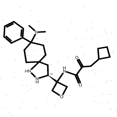 CN(C)C1(c2ccccc2)CCC2(CC1)C[C@@H](C1(NC(=O)C(=O)CC3CCC3)COC1)NN2